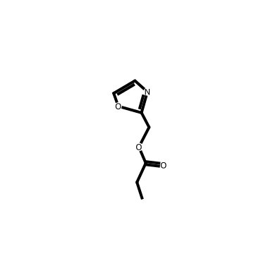 CCC(=O)OCc1ncco1